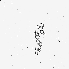 CC1C(c2cncc(N3CCCCC3=O)c2)N=NN1Cc1cn2cc(CNCC3CCC3)ccc2n1